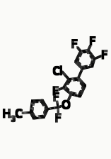 Cc1ccc(C(F)(F)Oc2ccc(-c3cc(F)c(F)c(F)c3)c(Cl)c2F)cc1